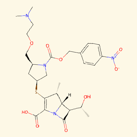 C[C@@H](O)[C@H]1C(=O)N2C(C(=O)O)=C(S[C@H]3C[C@@H](COCCN(C)C)N(C(=O)OCc4ccc([N+](=O)[O-])cc4)C3)[C@H](C)[C@H]12